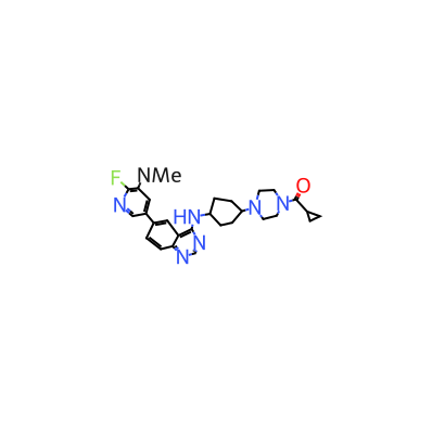 CNc1cc(-c2ccc3ncnc(NC4CCC(N5CCN(C(=O)C6CC6)CC5)CC4)c3c2)cnc1F